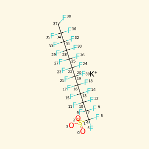 O=S(=O)([O-])C(F)(F)C(F)(F)C(F)(F)C(F)(F)C(F)(F)C(F)(F)C(F)(F)C(F)(F)C(F)(F)C(F)(F)C(F)(F)CF.[K+]